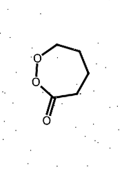 O=C1[CH]CCCOO1